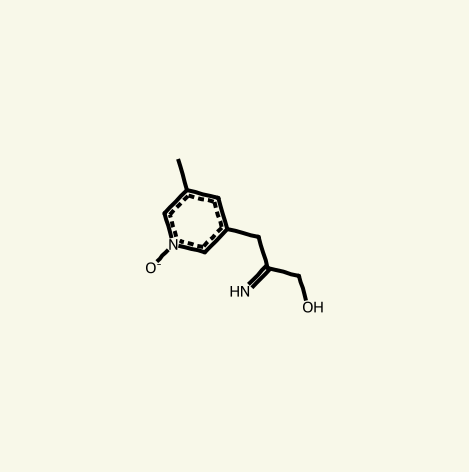 Cc1cc(CC(=N)CO)c[n+]([O-])c1